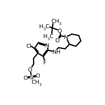 CC(C)(C)OC(=O)N1CCCCC1CCNc1ncc(Cl)c(CCOS(C)(=O)=O)c1F